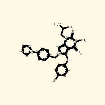 CC(C)Cn1c(=O)n(C)c(=O)c2c(Oc3ccc(F)cc3)n(Cc3ccc(-n4cncn4)cc3)cc21